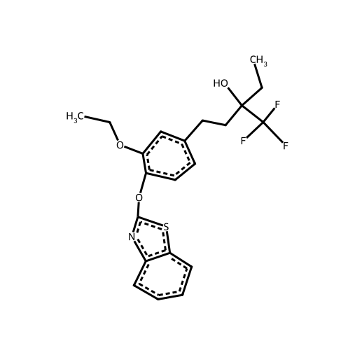 CCOc1cc(CCC(O)(CC)C(F)(F)F)ccc1Oc1nc2ccccc2s1